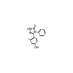 Cc1cc(O)ccc1-c1n[nH]c(=S)n1-c1ccccc1